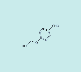 O=Cc1ccc(OCO)cc1